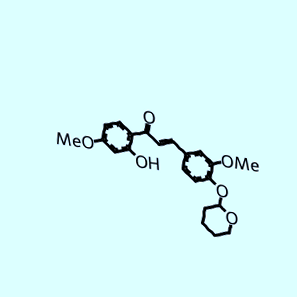 COc1ccc(C(=O)/C=C/c2ccc(OC3CCCCO3)c(OC)c2)c(O)c1